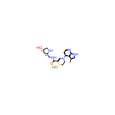 Cc1c[nH]c2nccc(N3C=C(C(=O)NC[C@H]4C[C@H](O)CN4)SCC3)c12.Cl